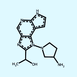 CC(O)c1nc2cnc3[nH]ccc3c2n1N1CCC(N)C1